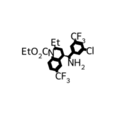 CCOC(=O)N1c2ccc(C(F)(F)F)cc2[C@H](C(N)c2cc(Cl)cc(C(F)(F)F)c2)C[C@H]1CC